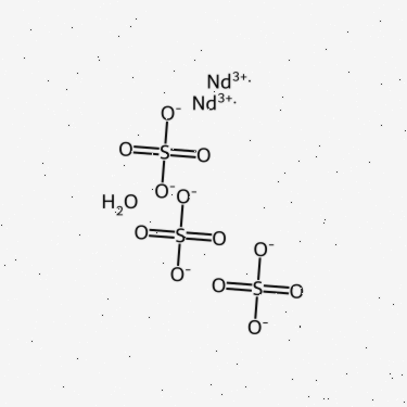 O.O=S(=O)([O-])[O-].O=S(=O)([O-])[O-].O=S(=O)([O-])[O-].[Nd+3].[Nd+3]